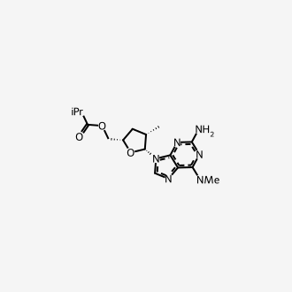 CNc1nc(N)nc2c1ncn2[C@@H]1O[C@H](COC(=O)C(C)C)C[C@@H]1C